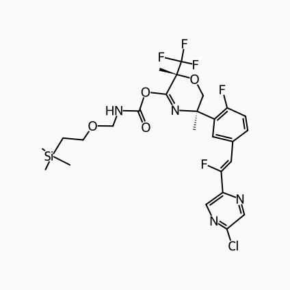 C[C@@]1(c2cc(/C=C(\F)c3cnc(Cl)cn3)ccc2F)CO[C@@](C)(C(F)(F)F)C(OC(=O)NCOCC[Si](C)(C)C)=N1